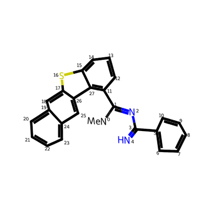 CN/C(=N\C(=N)c1ccccc1)c1cccc2sc3cc4ccccc4cc3c12